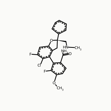 CNC[C@@]1(c2ccccc2)Cc2c(cc(F)c(Cl)c2-c2c(C(N)=O)ccc(OC)c2F)O1